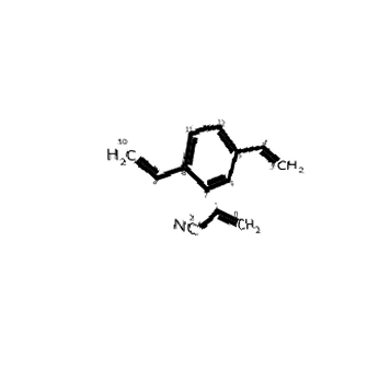 C=CC#N.C=Cc1ccc(C=C)cc1